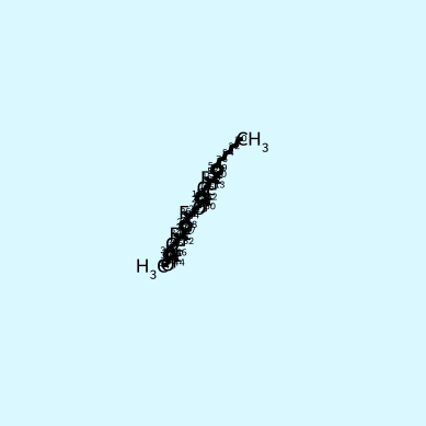 CCCCCCCCC1CCC(C(F)C(F)COc2ccc(OCCC(F)C3CCC(C(F)C(F)COc4ccc(OC)c(F)c4F)CC3)c(F)c2F)CC1